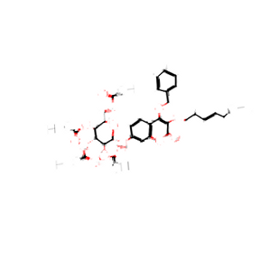 CC/C=C/CCOc1c(OCc2ccccc2)c2ccc(O[C@H]3O[C@H](COC(C)=O)[C@@H](OC(C)=O)[C@H](OC(C)=O)[C@@H]3OC(C)=O)cc2oc1=O